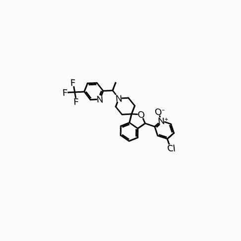 CC(c1ccc(C(F)(F)F)cn1)N1CCC2(CC1)OC(c1cc(Cl)cc[n+]1[O-])c1ccccc12